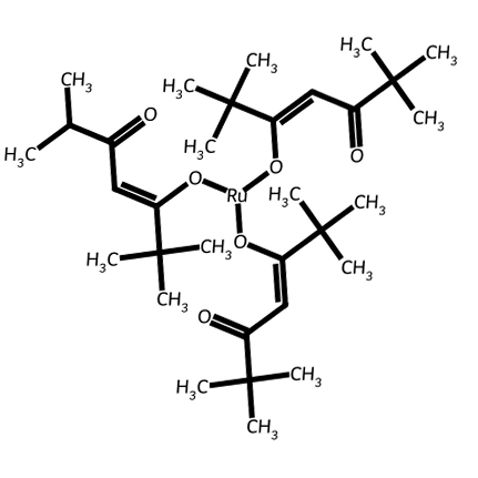 CC(C)C(=O)/C=C(\[O][Ru]([O]/C(=C\C(=O)C(C)(C)C)C(C)(C)C)[O]/C(=C\C(=O)C(C)(C)C)C(C)(C)C)C(C)(C)C